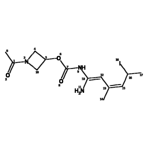 CC(=O)N1CC(OC(=O)N/C(N)=C/C(C)=C\C(C)I)C1